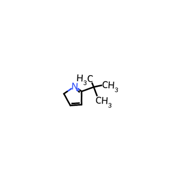 CC(C)(C)C1=NCC=C1